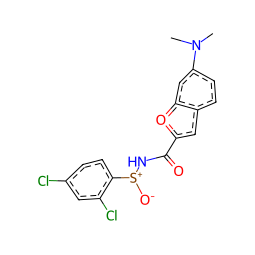 CN(C)c1ccc2cc(C(=O)N[S+]([O-])c3ccc(Cl)cc3Cl)oc2c1